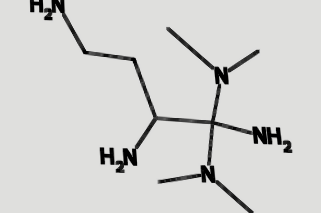 CN(C)C(N)(C(N)CCN)N(C)C